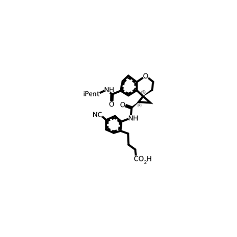 CCCC(C)NC(=O)c1ccc2c(c1)[C@]1(CCO2)C[C@H]1C(=O)Nc1cc(C#N)ccc1CCCC(=O)O